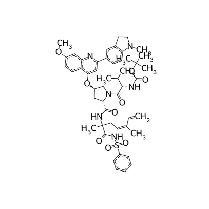 C=CC(C)=CCC(C)(NC(=O)[C@@H]1C[C@@H](Oc2cc(-c3ccc4c(c3)CCN4C)nc3cc(OC)ccc23)CN1C(=O)[C@@H](NC(=O)OC(C)(C)C)C(C)C)C(=O)NS(=O)(=O)c1ccccc1